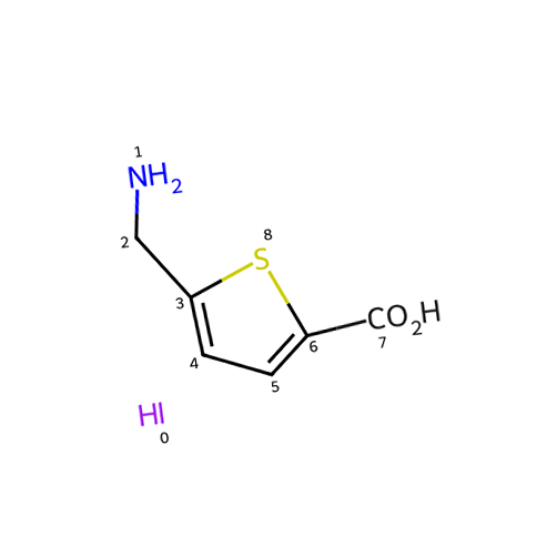 I.NCc1ccc(C(=O)O)s1